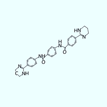 O=C(Nc1ccc(C2=NCCCN2)cc1)c1ccc(NC(=O)c2ccc(C3=NCCCN3)cc2)cc1